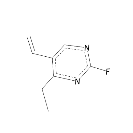 C=Cc1cnc(F)nc1CC